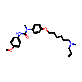 C=CCN(C)CCCCCCOc1ccc(N(C)C(=O)Nc2ccc(OC)cc2)cc1